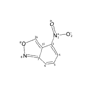 O=[N+]([O-])c1cccc2nocc12